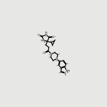 O=C1NC(=O)C(CCC(=O)N2CCN(c3ccc4[nH]ncc4c3)CC2)(C2CC2)N1